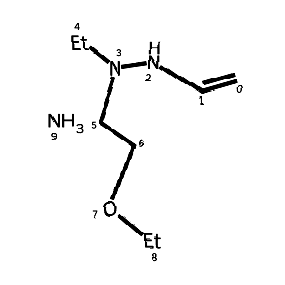 C=CNN(CC)CCOCC.N